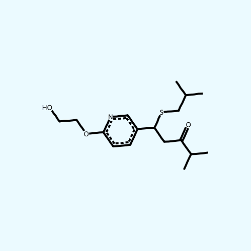 CC(C)CSC(CC(=O)C(C)C)c1ccc(OCCO)nc1